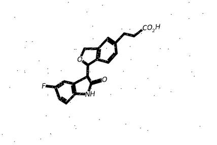 O=C(O)CCc1ccc2c(c1)COC2C1C(=O)Nc2ccc(F)cc21